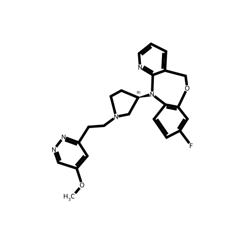 COc1cnnc(CCN2CC[C@@H](N3c4ccc(F)cc4OCc4cccnc43)C2)c1